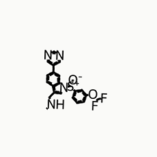 CNCc1cn([S+]([O-])c2cccc(OC(F)F)c2)c2cc(-c3cncnc3)ccc12